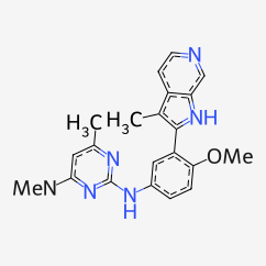 CNc1cc(C)nc(Nc2ccc(OC)c(-c3[nH]c4cnccc4c3C)c2)n1